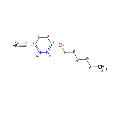 C#Cc1ccc(OCCCCCC)nn1